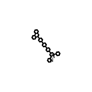 c1ccc(-c2cc(-c3ccc(-c4ccc(-c5ccc(-c6cc7ccccc7c7ccccc67)cc5)cc4)cc3)cc(-c3ccccn3)n2)cc1